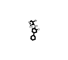 Cn1ncc(Br)c1Nc1ccc(-c2ccccc2)cc1Cl